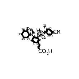 CC(C)CN(c1ccc(CCC(=O)O)cc1NC(=O)Nc1ccc(C#N)cc1F)C1CCCCC1